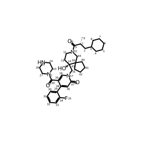 C[C@H](CC1CCCCC1)C(=O)N1CC[C@@](O)(Cn2cc(C(=O)N3CCNCC3)c(-c3ccccc3F)cc2=O)C2(CCCC2)C1